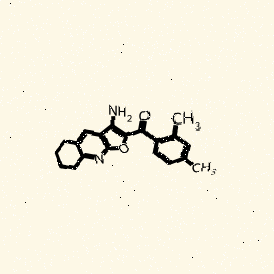 Cc1ccc(C(=O)c2oc3nc4c(cc3c2N)CCCC4)c(C)c1